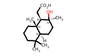 CC1(C)CCC[C@]2(C)[C@@H](CC(=O)O)[C@@](C)(O)CC[C@@H]12